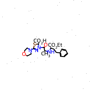 CCOC(=O)[C@H](CCc1ccccc1)N[C@@H](C)C(=O)N1N=C(N2CCOCC2)S[C@H]1C(=O)O